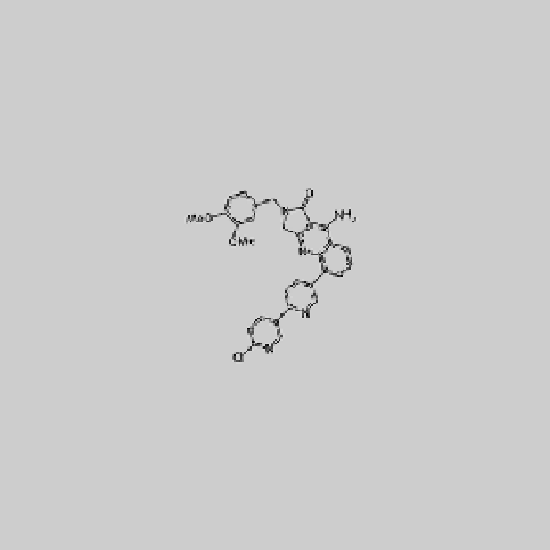 COc1ccc(CN2Cc3nc4c(-c5ccc(-c6ccc(Cl)nc6)nc5)cccc4c(N)c3C2=O)cc1OC